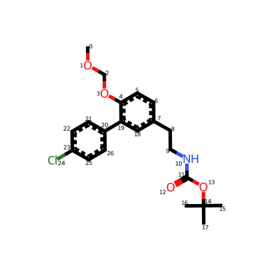 COCOc1ccc(CCNC(=O)OC(C)(C)C)cc1-c1ccc(Cl)cc1